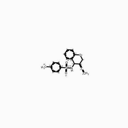 C=C=C1COc2ccccc2C1NS(=O)(=O)c1ccc(C)cc1